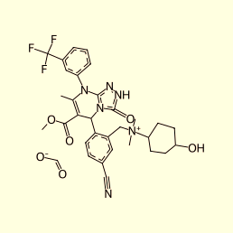 COC(=O)C1=C(C)N(c2cccc(C(F)(F)F)c2)c2n[nH]c(=O)n2C1c1ccc(C#N)cc1C[N+](C)(C)C1CCC(O)CC1.O=C[O-]